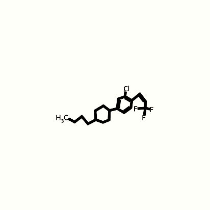 CCCCC1CCC(c2ccc(/C=C\C(F)(F)F)c(Cl)c2)CC1